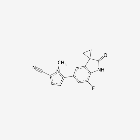 Cn1c(C#N)ccc1-c1cc(F)c2c(c1)C1(CC1)C(=O)N2